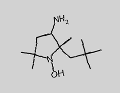 CC(C)(C)CC1(C)C(N)CC(C)(C)N1O